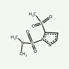 CN(C)S(=O)(=O)n1nccc1S(C)(=O)=O